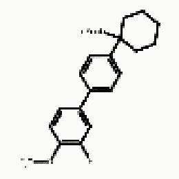 CCCCCC1(c2ccc(-c3ccc(OC(F)(F)F)c(F)c3)cc2)CCCCC1